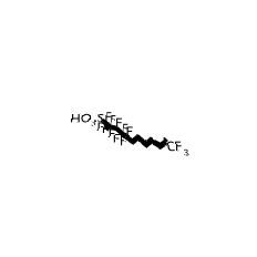 O=S(=O)(O)C(F)(F)C(F)(F)C(F)(F)C(F)(F)C(F)(F)CCCCCCC(F)(F)F